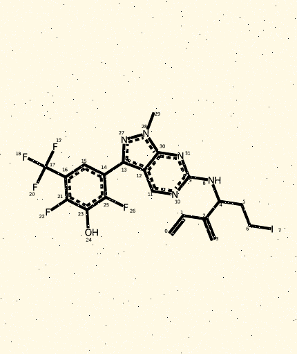 C=CC(=C)C(CCI)Nc1ncc2c(-c3cc(C(F)(F)F)c(F)c(O)c3F)nn(C)c2n1